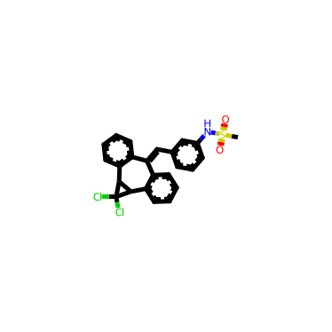 CS(=O)(=O)Nc1cccc(C=C2c3ccccc3C3C(c4ccccc42)C3(Cl)Cl)c1